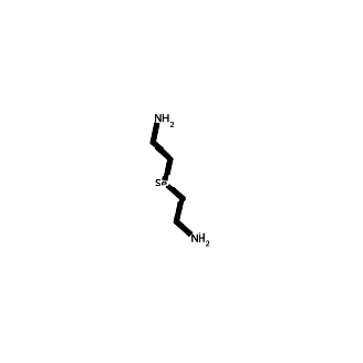 NCC[Se]CCN